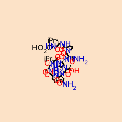 CC(C)C[C@H](NC(=O)[C@H](CC(N)=O)NC(=O)[C@@H](N)[C@@H](C)O)C(=O)N[C@@H](CO)C(=O)N[C@H](C(=O)N1CCC[C@H]1C(=O)N[C@@H](CC(N)=O)C(=O)N1CCC[C@H]1C(=O)N[C@@H](CC(C)C)C(=O)NCC(=O)O)C(C)C